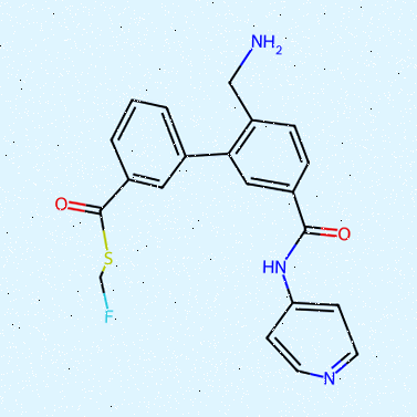 NCc1ccc(C(=O)Nc2ccncc2)cc1-c1cccc(C(=O)SCF)c1